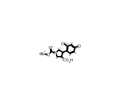 CC(C)(C)OC(=O)N1CC(C(=O)O)C(c2ccc(Cl)cc2Cl)C1